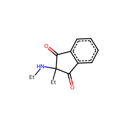 CCNC1(CC)C(=O)c2ccccc2C1=O